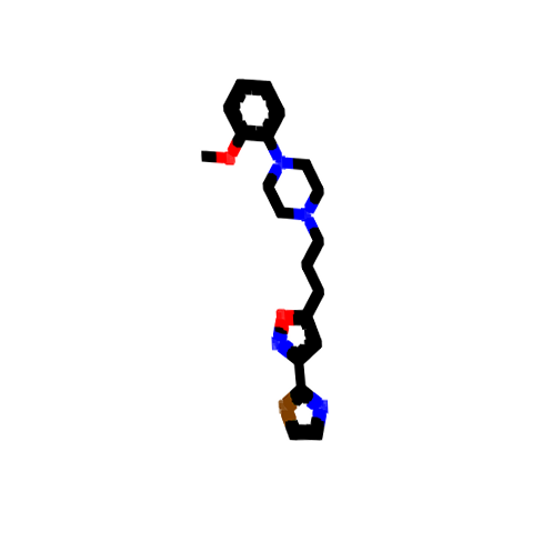 COc1ccccc1N1CCN(CCCc2cc(-c3nccs3)no2)CC1